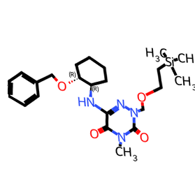 Cn1c(=O)c(N[C@@H]2CCCC[C@H]2OCc2ccccc2)nn(COCC[Si](C)(C)C)c1=O